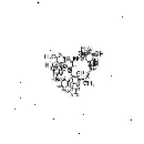 COCC(=O)Nc1ccc(C2(C(=O)OC3/C(C)=C/C[C@@H]4C[C@@H](CC5(CC[C@H](C)[C@@H](C)O5)O4)OC(=O)[C@@H]4C=C(C)[C@@H](O)[C@H]5OC/C(=C\C=C\[C@@H]3C)[C@]54O)CCCC2)cc1